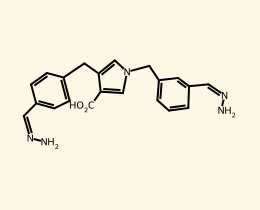 N/N=C\c1ccc(Cc2cn(Cc3cccc(/C=N\N)c3)cc2C(=O)O)cc1